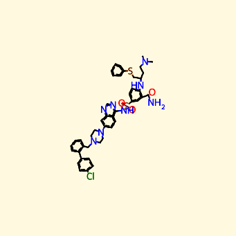 CN(C)CCC(CSc1ccccc1)Nc1ccc(S(=O)(=O)Nc2ncnc3cc(N4CCN(Cc5ccccc5-c5ccc(Cl)cc5)CC4)ccc23)cc1C(N)=O